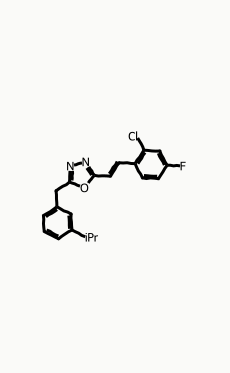 CC(C)c1cccc(Cc2nnc(/C=C/c3ccc(F)cc3Cl)o2)c1